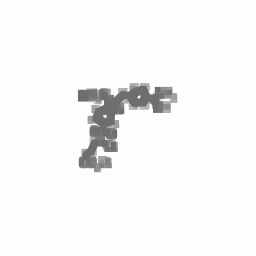 CCOC(=O)CCCN(CC)S(=O)(=O)c1ccc2c(c1)nc(Cc1ccc(C(=N)N)cc1)n2C.Cl